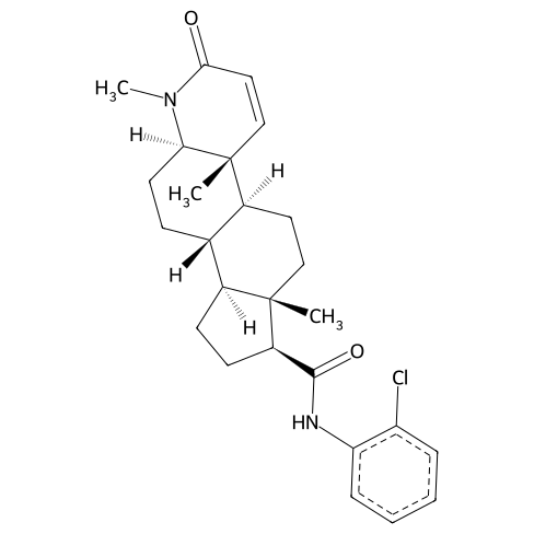 CN1C(=O)C=C[C@]2(C)[C@H]3CC[C@]4(C)[C@@H](C(=O)Nc5ccccc5Cl)CC[C@H]4[C@@H]3CC[C@@H]12